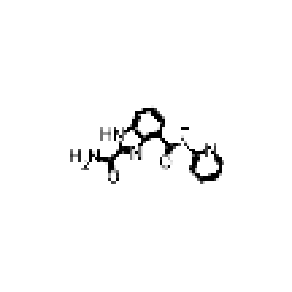 NC(=O)c1nc2c(C(=O)Nc3ccccn3)cccc2[nH]1